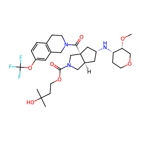 CO[C@@H]1COCC[C@@H]1N[C@@H]1C[C@H]2CN(C(=O)OCCC(C)(C)O)C[C@@]2(C(=O)N2CCc3ccc(OC(F)(F)F)cc3C2)C1